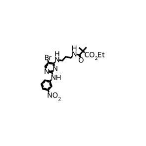 CCOC(=O)C(C)(C)C(=O)NCCCNc1nc(Nc2cccc([N+](=O)[O-])c2)ncc1Br